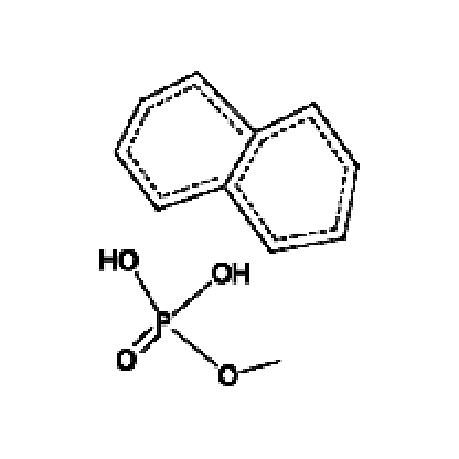 COP(=O)(O)O.c1ccc2ccccc2c1